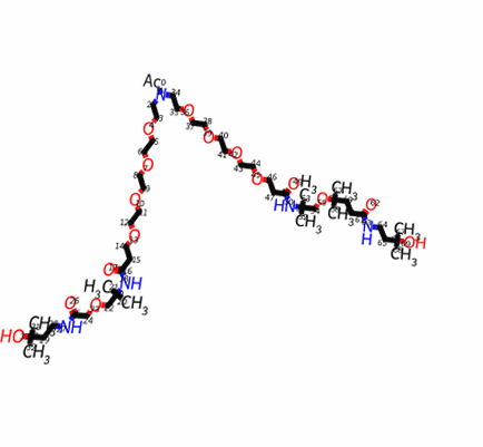 CC(=O)N(CCOCCOCCOCCOCCC(=O)NC(C)(C)COCC(=O)NCCC(C)(C)O)CCOCCOCCOCCOCCC(=O)NC(C)(C)COC(C)(C)CCC(=O)NCCC(C)(C)O